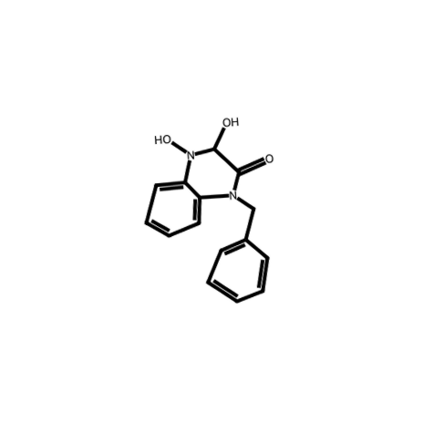 O=C1C(O)N(O)c2ccccc2N1Cc1ccccc1